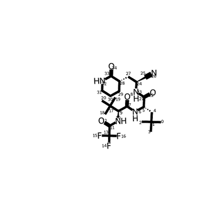 CC(C)(C)C[C@H](NC(=O)[C@@H](NC(=O)C(F)(F)F)C(C)(C)C)C(=O)N[C@H](C#N)C[C@@H]1CCCNC1=O